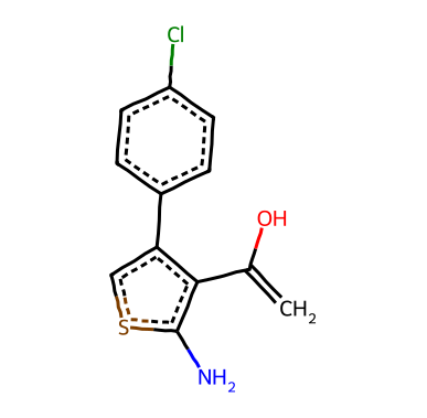 C=C(O)c1c(-c2ccc(Cl)cc2)csc1N